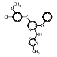 COc1cc(Sc2cnc(Nc3nc(C)cs3)c(Oc3ccccc3)c2)ccc1Cl